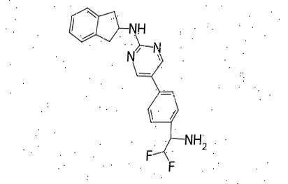 NC(c1ccc(-c2cnc(NC3Cc4ccccc4C3)nc2)cc1)C(F)F